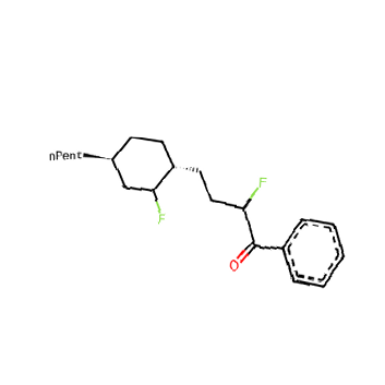 CCCCC[C@H]1CC[C@H](CCC(F)C(=O)c2ccccc2)C(F)C1